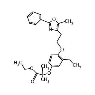 CCOC(=O)C(C)(C)Oc1ccc(OCCc2nc(-c3ccccc3)oc2C)c(CC)c1